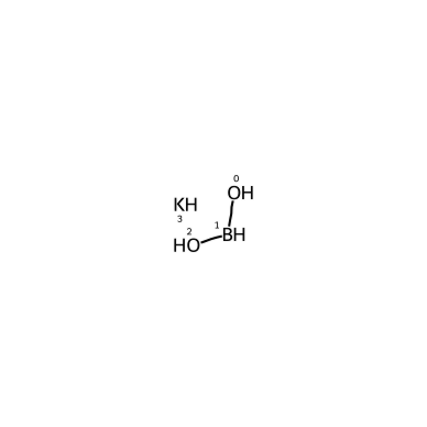 OBO.[KH]